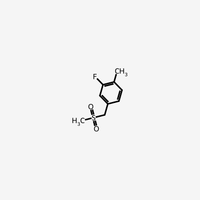 Cc1ccc(CS(C)(=O)=O)cc1F